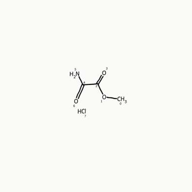 COC(=O)C(N)=O.Cl